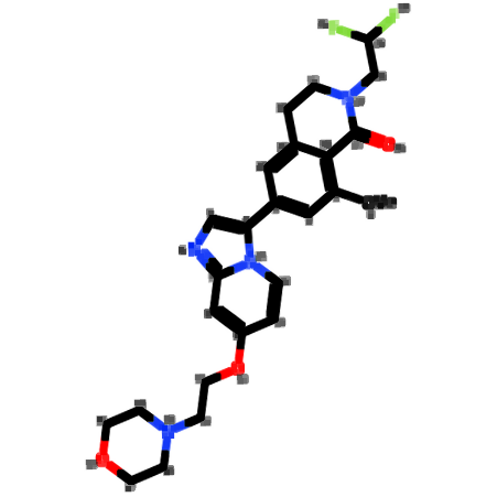 COc1cc(-c2cnc3cc(OCCN4CCOCC4)ccn23)cc2c1C(=O)N(CC(F)F)CC2